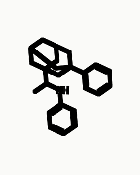 CC(Nc1ccccc1)C12CC3CC(CC(c4ccccc4)(C3)C1)C2